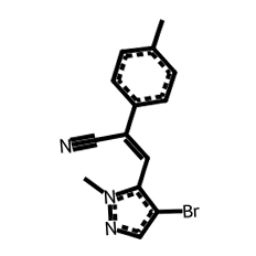 Cc1ccc(/C(C#N)=C/c2c(Br)cnn2C)cc1